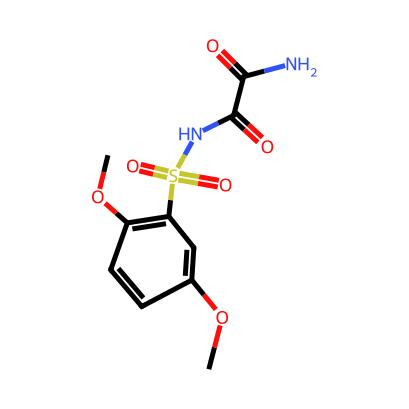 COc1ccc(OC)c(S(=O)(=O)NC(=O)C(N)=O)c1